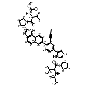 CC#Cc1cc(-c2cnc([C@@H]3CCCN3C(=O)[C@@H](NC(=O)OC)C(C)C)[nH]2)ccc1-c1ccc2c(ccc3nc([C@@H]4CCCN4C(=O)[C@@H](NC(=O)OC)C(C)C)[nH]c32)c1